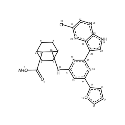 COC(=O)C1C2CCC(CC2)C1Nc1cc(-c2ccco2)nc(-c2c[nH]c3ncc(Cl)nc23)n1